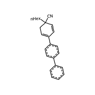 CCCCCCC1(C#N)C=CC(c2ccc(-c3ccccc3)cc2)=CC1